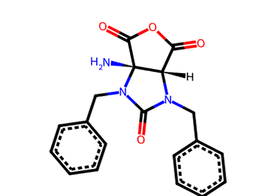 N[C@@]12C(=O)OC(=O)[C@@H]1N(Cc1ccccc1)C(=O)N2Cc1ccccc1